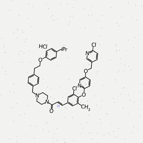 Cc1cc(/C=C/C(=O)N2CCN(Cc3ccc(CCOc4ccc(C(C)C)cc4)cc3)CC2)cc(Cl)c1Oc1ccc(OCc2ccc(Cl)nc2)cn1.Cl